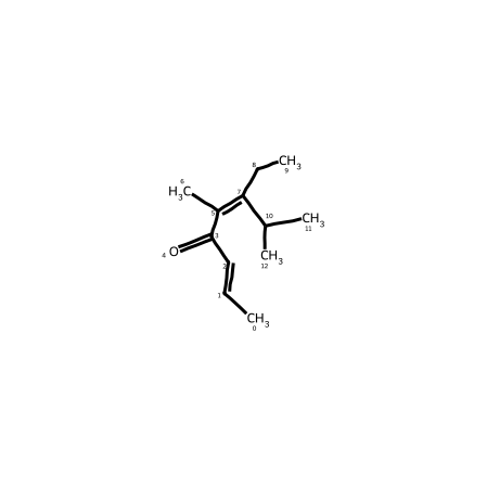 CC=CC(=O)C(C)=C(CC)C(C)C